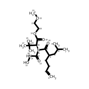 C=CCCC(CC(C)C)C(=O)N(C(=O)NO)[C@H](C(=O)OCCOC)C(C)(C)C